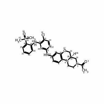 CC(=O)N1CCN2c3ccc(Nc4ncc(Cl)c(Nc5ccccc5P(C)(C)=O)n4)cc3OC[C@H]2C1